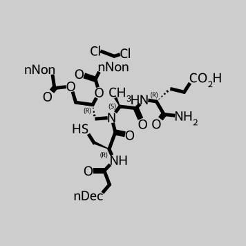 CCCCCCCCCCCC(=O)N[C@@H](CS)C(=O)N(C[C@H](COC(=O)CCCCCCCCC)OC(=O)CCCCCCCCC)[C@@H](C)C(=O)N[C@H](CCC(=O)O)C(N)=O.ClCCl